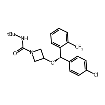 CC(C)(C)NC(=O)N1CC(O[C@H](c2ccc(Cl)cc2)c2ccccc2C(F)(F)F)C1